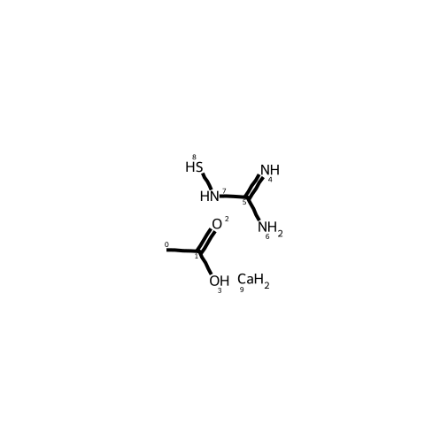 CC(=O)O.N=C(N)NS.[CaH2]